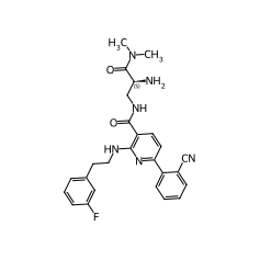 CN(C)C(=O)[C@@H](N)CNC(=O)c1ccc(-c2ccccc2C#N)nc1NCCc1cccc(F)c1